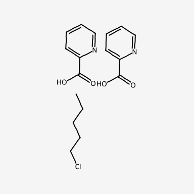 CCCCCCl.O=C(O)c1ccccn1.O=C(O)c1ccccn1